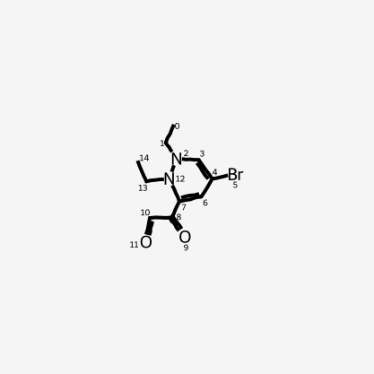 CCN1C=C(Br)C=C(C(=O)C=O)N1CC